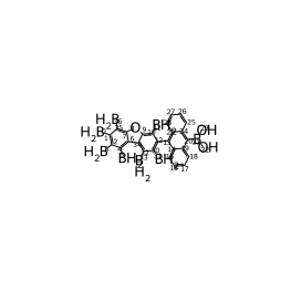 Bc1c(B)c(B)c2c(oc3c(B)c(-c4c5ccccc5c(B(O)O)c5ccccc45)c(B)c(B)c32)c1B